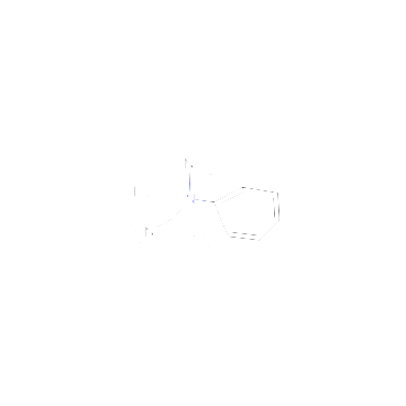 CC[C@H](C)[C@@](C(=O)O)(N(c1ccccc1)[N+](=O)[O-])[N+](=O)[O-]